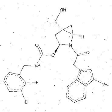 CC(=O)c1cn(CC(=O)N2[C@@H](OC(=O)NCc3cccc(Cl)c3F)C[C@@]3(CO)C[C@@H]23)c2ccccc12